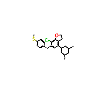 CSc1ccc(Cc2cc(C3CC(C)CC(C)C3)c3c(c2Cl)OCC3)cc1